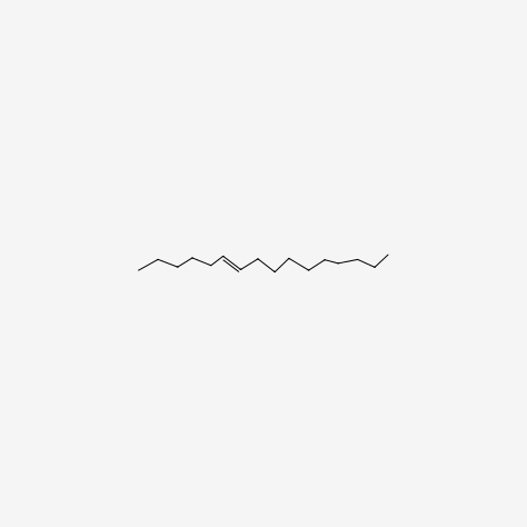 CCCCCC=CCCCCCCCCC